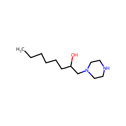 CCCCCCC(O)CN1CCNCC1